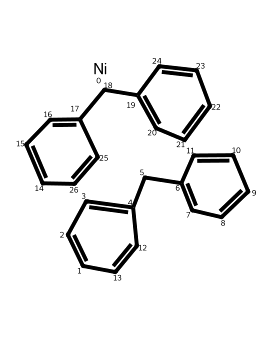 [Ni].c1ccc(Cc2ccccc2)cc1.c1ccc(Cc2ccccc2)cc1